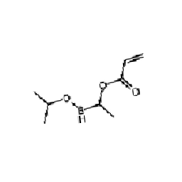 C=CC(=O)OC(C)BOC(C)C